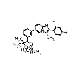 Cc1c(-c2ccc(F)cc2F)nc2ccc(-c3cccc(C(O[SiH](C)C)C(C)(C)C)c3)cn12